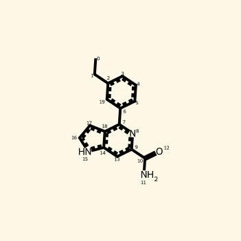 CCc1cccc(-c2nc(C(N)=O)cc3[nH]ccc23)c1